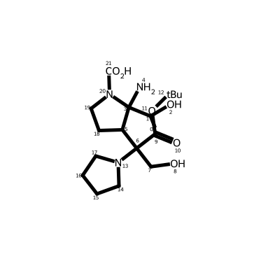 CC(O)C1(N)C(C(CO)(C(=O)OC(C)(C)C)N2CCCC2)CCN1C(=O)O